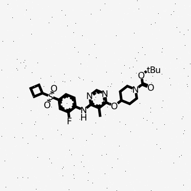 Cc1c(Nc2ccc(S(=O)(=O)C3CCC3)cc2F)ncnc1OC1CCN(C(=O)OC(C)(C)C)CC1